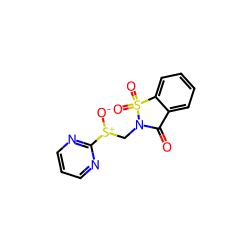 O=C1c2ccccc2S(=O)(=O)N1C[S+]([O-])c1ncccn1